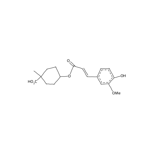 COc1cc(C=CC(=O)OC2CCC(C)(C(=O)O)CC2)ccc1O